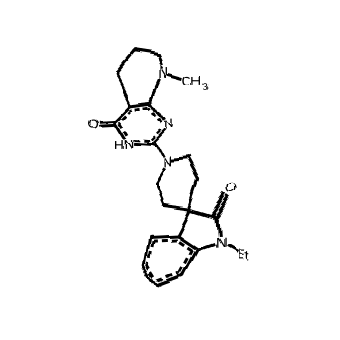 CCN1C(=O)C2(CCN(c3nc4c(c(=O)[nH]3)CCCN4C)CC2)c2ccccc21